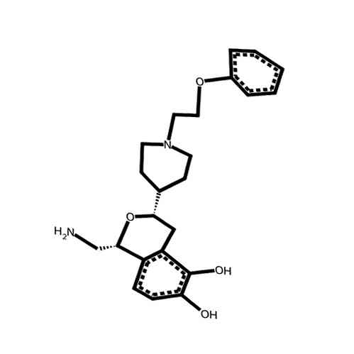 NC[C@@H]1O[C@H](C2CCN(CCOc3ccccc3)CC2)Cc2c1ccc(O)c2O